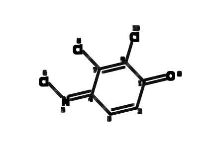 O=C1C=CC(=NCl)C(Cl)=C1Cl